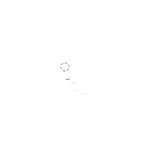 CCC(CC)N1CCN(C(=O)Oc2ccc(OC)cc2)CC1